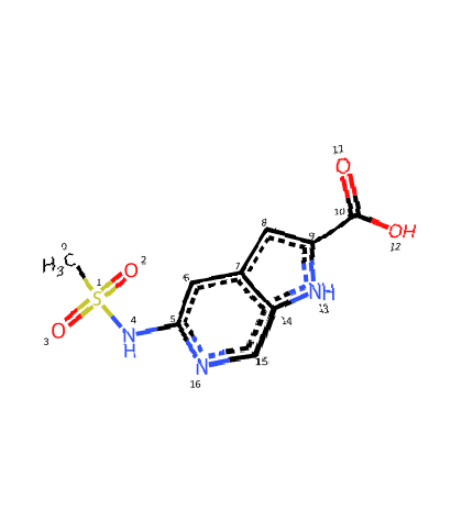 CS(=O)(=O)Nc1cc2cc(C(=O)O)[nH]c2cn1